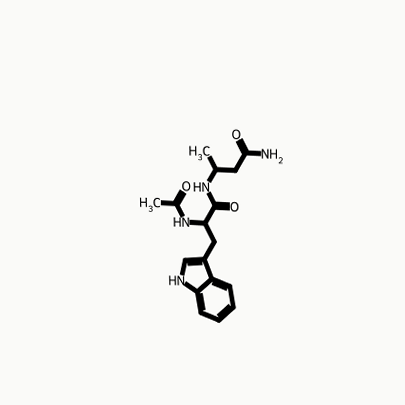 CC(=O)NC(Cc1c[nH]c2ccccc12)C(=O)NC(C)CC(N)=O